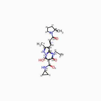 Cc1nn2c(O)c(C(=O)NC3CC3)c(=O)n(CC(C)C)c2c1/C=C/C(=O)N1CCC[C@H]1C